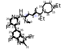 C=N/C(=C\C=C(/C)[C@@H](CC)N1CCCN(CC)CC1)Nc1ncc(F)c(-c2cc(F)c3nc(C)n(C(C)C)c3c2)n1